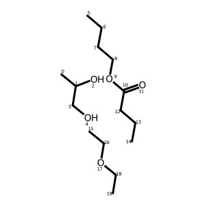 CC(O)CO.CCCCOC(=O)CCC.CCOCC